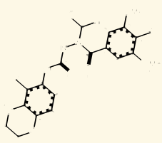 CCCC(N(NC(=O)Oc1ccc2c(c1C)OCCO2)C(=O)c1cc(OC)c(C)c(OC)c1)C(C)(C)C